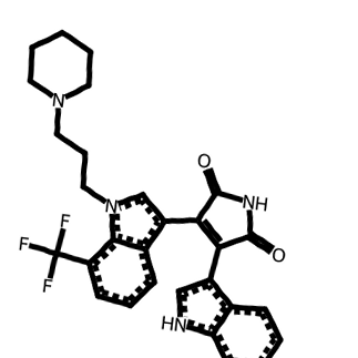 O=C1NC(=O)C(c2cn(CCCN3CCCCC3)c3c(C(F)(F)F)cccc23)=C1c1c[nH]c2ccccc12